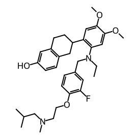 CCN(Cc1ccc(OCCN(C)CC(C)C)c(F)c1)c1cc(OC)c(OC)cc1C1CCc2cc(O)ccc2C1